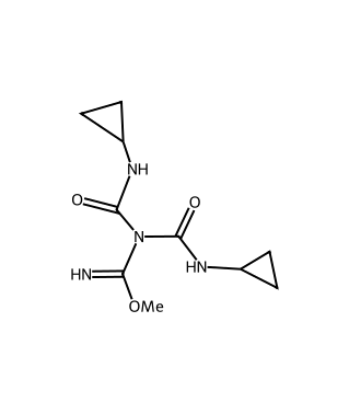 COC(=N)N(C(=O)NC1CC1)C(=O)NC1CC1